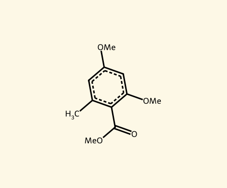 COC(=O)c1c(C)cc(OC)cc1OC